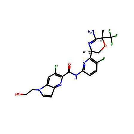 C[C@@]1(c2nc(NC(=O)c3nc4ccn(CCO)c4cc3Cl)ccc2F)CO[C@@](C)(C(F)(F)F)C(N)=N1